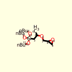 CCCCO[Si](CC(C)OCC1CO1)(OCCCC)OCCCC